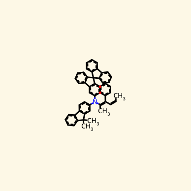 C/C=C\C(=C(/C)N(c1ccc2c(c1)-c1ccccc1C21c2ccccc2-c2ccccc21)c1ccc2c(c1)C(C)(C)c1ccccc1-2)c1ccccc1